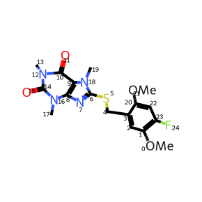 COc1cc(CSc2nc3c(c(=O)n(C)c(=O)n3C)n2C)c(OC)cc1F